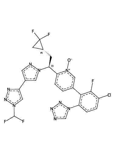 [O-][n+]1cc(-c2c(-n3cnnn3)ccc(Cl)c2F)ccc1[C@H](C[C@@H]1CC1(F)F)n1cc(-c2cn(C(F)F)nn2)cn1